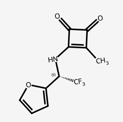 Cc1c(N[C@@H](c2ccco2)C(F)(F)F)c(=O)c1=O